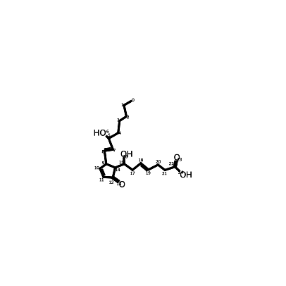 CCCCCC(O)C=CC1C=CC(=O)C1C(O)CC=CCCC(=O)O